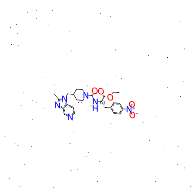 CCOC(=O)[C@H](Cc1ccc([N+](=O)[O-])cc1)NC(=O)N1CCC(Cn2c(C)nc3cnccc32)CC1